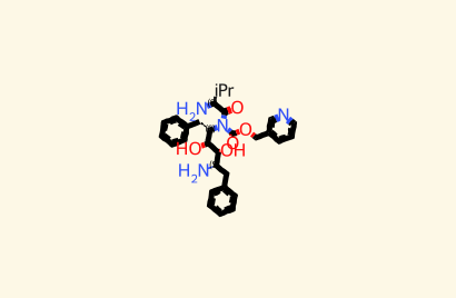 CC(C)[C@H](N)C(=O)N(C(=O)OCc1cccnc1)[C@@H](Cc1ccccc1)C(O)C(O)[C@@H](N)Cc1ccccc1